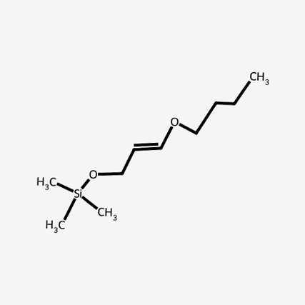 CCCCOC=CCO[Si](C)(C)C